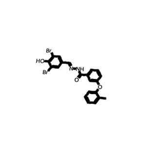 Cc1ccccc1Oc1cccc(C(=O)NN=Cc2cc(Br)c(O)c(Br)c2)c1